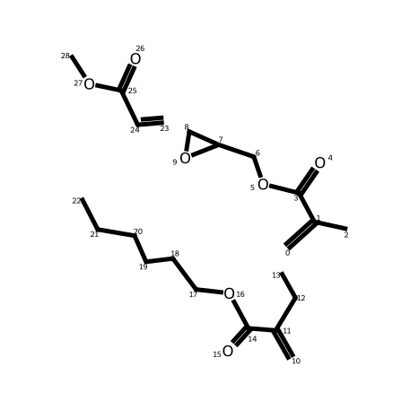 C=C(C)C(=O)OCC1CO1.C=C(CC)C(=O)OCCCCCC.C=CC(=O)OC